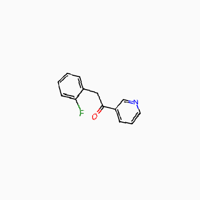 O=C(Cc1ccccc1F)c1cccnc1